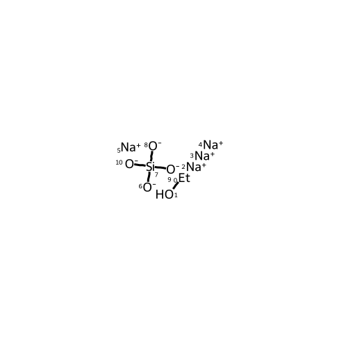 CCO.[Na+].[Na+].[Na+].[Na+].[O-][Si]([O-])([O-])[O-]